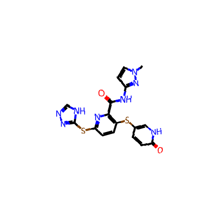 Cn1ccc(NC(=O)c2nc(Sc3nnc[nH]3)ccc2Sc2ccc(=O)[nH]c2)n1